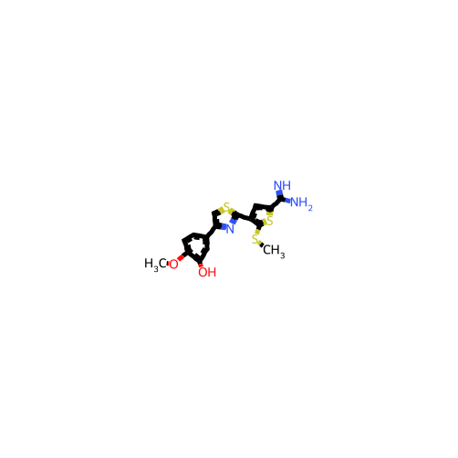 COc1ccc(-c2csc(-c3cc(C(=N)N)sc3SC)n2)cc1O